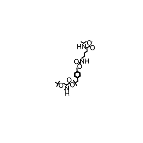 CNC(COC(C)(C)C)C(=O)OC(C)(C)Cc1ccc(COC(=O)NCCCCC(NC(C)C)C(=O)OC)cc1